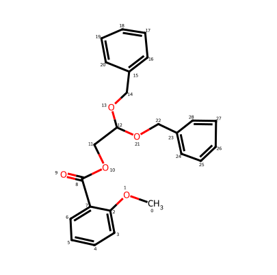 COc1ccccc1C(=O)OCC(OCc1ccccc1)OCc1ccccc1